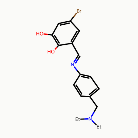 CCN(CC)Cc1ccc(N=Cc2cc(Br)cc(O)c2O)cc1